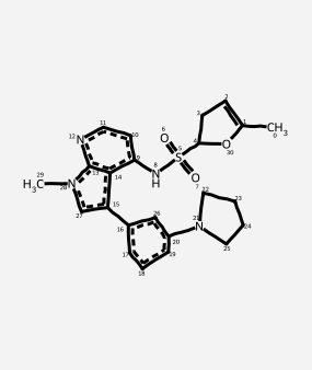 CC1=CCC(S(=O)(=O)Nc2ccnc3c2c(-c2cccc(N4CCCC4)c2)cn3C)O1